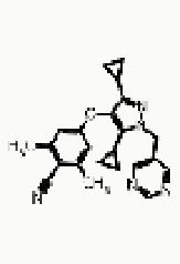 Cc1cc(Oc2c(C3CC3)nn(Cc3cncnc3)c2C2CC2)cc(C)c1C#N